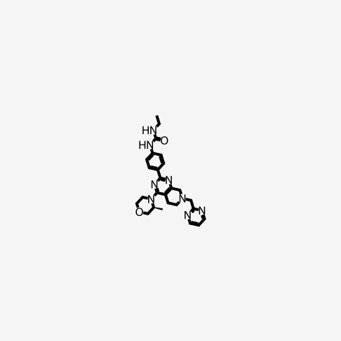 CCNC(=O)Nc1ccc(-c2nc3c(c(N4CCOC[C@@H]4C)n2)CCN(Cc2ncccn2)C3)cc1